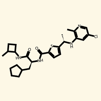 Cc1ncc(Cl)cc1N[C@@H](C)c1ccc(C(=O)N[C@@H](CC2CCCC2)C(=O)NC2CCC2C)s1